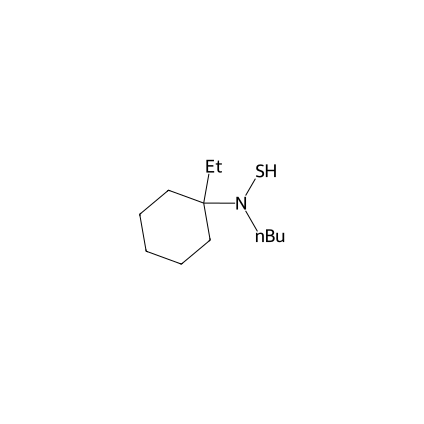 CCCCN(S)C1(CC)CCCCC1